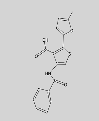 Cc1ccc(-c2scc(NC(=O)c3ccccc3)c2C(=O)O)o1